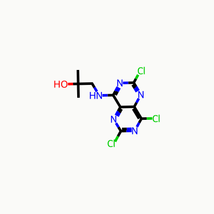 CC(C)(O)CNc1nc(Cl)nc2c(Cl)nc(Cl)nc12